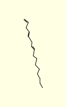 [CH]=CCC=CCC=CCCCCCCCC